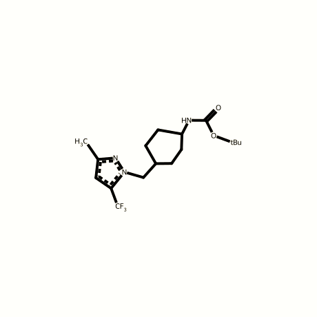 Cc1cc(C(F)(F)F)n(CC2CCC(NC(=O)OC(C)(C)C)CC2)n1